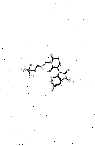 Cn1c(=O)n(C2CCC(=O)N(COCC[Si](C)(C)C)C2=O)c2ccc(N)cc21